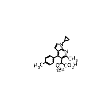 Cc1ccc(-c2c([C@H](OC(C)(C)C)C(=O)O)c(C)nc3c2ccn3C2CC2)cc1